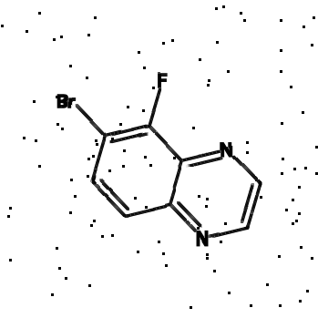 Fc1c(Br)ccc2nccnc12